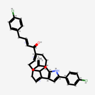 C=C1CC/C=C(\C2CC/C=C(\C(=O)/C=C/Cc3ccc(Cl)cc3)CCC2)c2cc(-c3ccc(Cl)cc3)[nH]c2C1